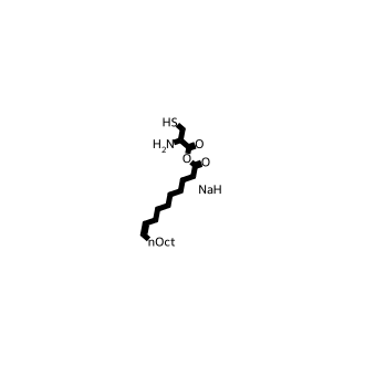 CCCCCCCC/C=C\CCCCCCCC(=O)OC(=O)C(N)CS.[NaH]